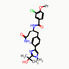 CC(C)Oc1ccc(C(=O)N[C@H](CCC(N)=O)Cc2ccc(-c3cn(C)c(C(C)(C)O)n3)cc2)cc1Cl